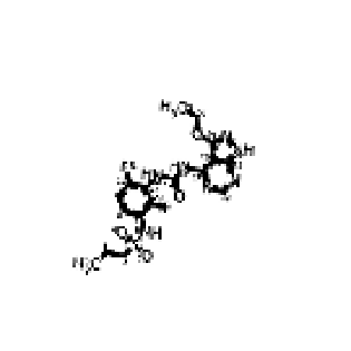 CCCS(=O)(=O)Nc1ccc(F)c(NC(=O)Nc2ncnc3[nH]nc(OCC)c23)c1F